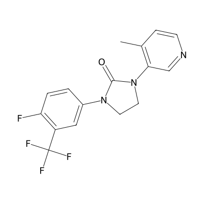 Cc1ccncc1N1CCN(c2ccc(F)c(C(F)(F)F)c2)C1=O